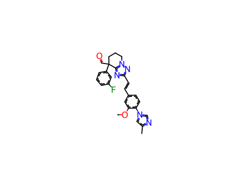 COc1cc(C=Cc2nc3n(n2)CCCC3(C=O)c2cccc(F)c2)ccc1-n1cnc(C)c1